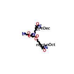 CCCCCCCCCCC(CC)N(C)C(=O)C(C)(C)CCCCN1C[C@@H](OC(=O)CCN(C)C)C[C@H]1C(=O)OCCCCCCC(C)(C)C(=O)N(C)C(CCCCCCCC)CCCCCCCC